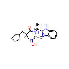 CC(C)(C)[C@H](NC(=O)[C@H](CC1CCCC1)CN(O)C=O)c1nc2ccccc2[nH]1